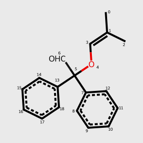 CC(C)=COC(C=O)(c1ccccc1)c1ccccc1